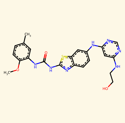 COc1ccc(C)cc1NC(=O)Nc1nc2ccc(Nc3cc(NCCO)ncn3)cc2s1